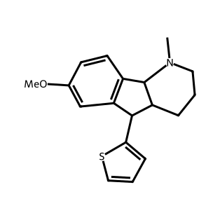 COc1ccc2c(c1)C(c1cccs1)C1CCCN(C)C21